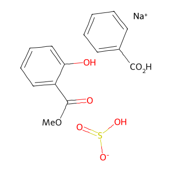 COC(=O)c1ccccc1O.O=C(O)c1ccccc1.O=S([O-])O.[Na+]